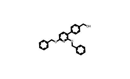 OCc1ccc(-c2ccc(OCc3ccccc3)nc2OCc2ccccc2)cc1